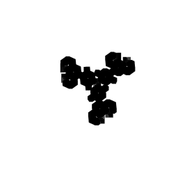 Cc1cc(N(c2cc(C)c(-c3cc4cccnc4c4ncccc34)cc2C)c2cc(C)c(-c3cc4cccnc4c4ncccc34)cc2C)c(C)cc1-c1cc2cccnc2c2ncccc12